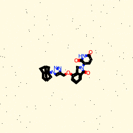 O=C1CCC(N2Cc3c(OCc4cn(C56CC7CC5CC7C6)nn4)cccc3C2=O)C(=O)N1